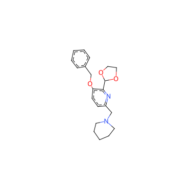 c1ccc(COc2ccc(CN3CCCCC3)nc2C2OCCO2)cc1